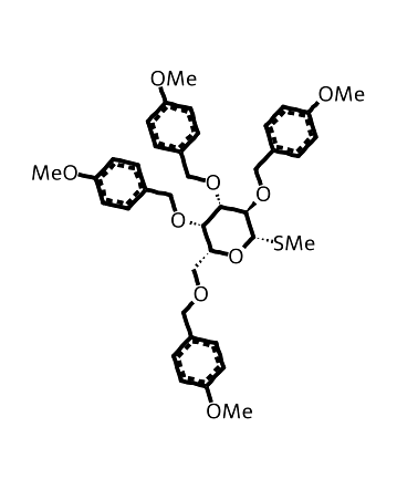 COc1ccc(COC[C@H]2O[C@@H](SC)[C@H](OCc3ccc(OC)cc3)[C@@H](OCc3ccc(OC)cc3)[C@H]2OCc2ccc(OC)cc2)cc1